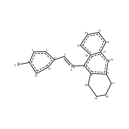 Fc1ccc(C=Nc2c3c(nc4ccccc24)CCCC3)cc1